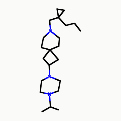 CCCC1(CN2CCC3(CC2)CC(N2CCN(C(C)C)CC2)C3)CC1